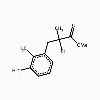 CCC(C)(Cc1cccc(C)c1C)C(=O)OC